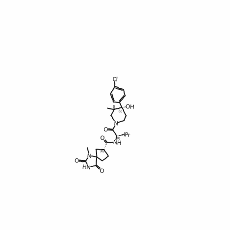 CC(C)[C@@H](NC(=O)[C@@H]1CCC2(C1)C(=O)NC(=O)N2C)C(=O)N1CC[C@](O)(c2ccc(Cl)cc2)C(C)(C)C1